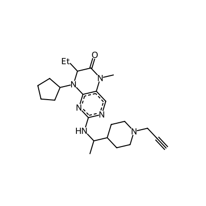 C#CCN1CCC(C(C)Nc2ncc3c(n2)N(C2CCCC2)C(CC)C(=O)N3C)CC1